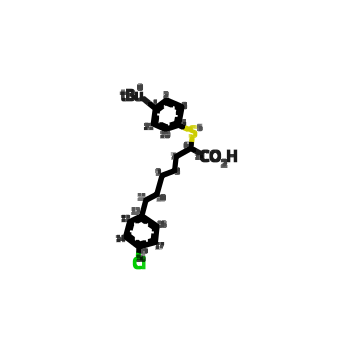 CC(C)(C)c1ccc(SC(CCCCCc2ccc(Cl)cc2)C(=O)O)cc1